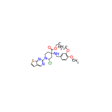 CCOC(=O)C1(NCc2ccc(OC)c(OC)c2)CCN(c2ncc3ccsc3n2)C(Cl)C1